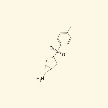 Cc1ccc(S(=O)(=O)N2CC3C(N)C3C2)cc1